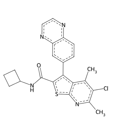 Cc1nc2sc(C(=O)NC3CCC3)c(-c3ccc4nccnc4c3)c2c(C)c1Cl